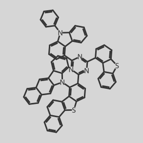 c1ccc(-n2c3ccccc3c3c(-c4nc(-c5ccc6sc7c8ccccc8ccc7c6c5-n5c6ccccc6c6cc7ccccc7cc65)nc(-c5cccc6sc7ccccc7c56)n4)cccc32)cc1